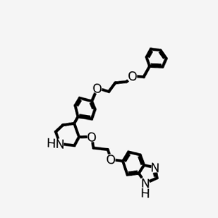 c1ccc(COCCCOc2ccc(C3CCNCC3OCCOc3ccc4nc[nH]c4c3)cc2)cc1